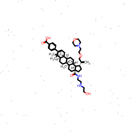 C=C(COCCN1CCOCC1)[C@@H]1CC[C@]2(C(=O)NCCNCCO)CC[C@]3(C)[C@H](CC[C@@H]4[C@@]5(C)CC=C(c6ccc(C(=O)O)cc6)C(C)(C)[C@@H]5CC[C@]43C)[C@@H]12